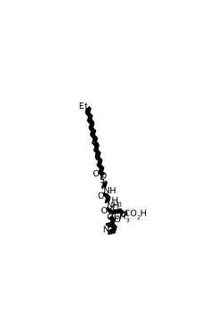 CCC=CCC=CCC=CCC=CCC=CCCCC(=O)OSCCNC(=O)CCNC(=O)C(OC(=O)c1cccnc1)C(C)(C)COC(=O)O